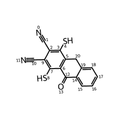 N#Cc1c(S)c2c(c(S)c1C#N)C(=O)c1ccccc1C2